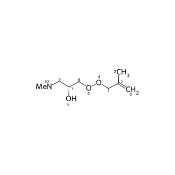 C=C(C)COOCC(O)CNC